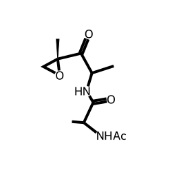 CC(=O)NC(C)C(=O)NC(C)C(=O)[C@@]1(C)CO1